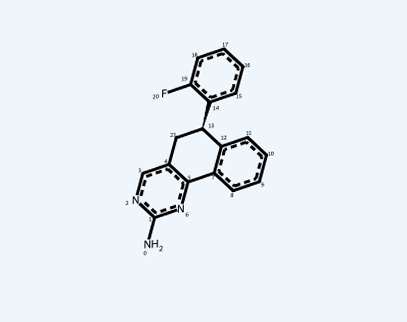 Nc1ncc2c(n1)-c1ccccc1[C@H](c1ccccc1F)C2